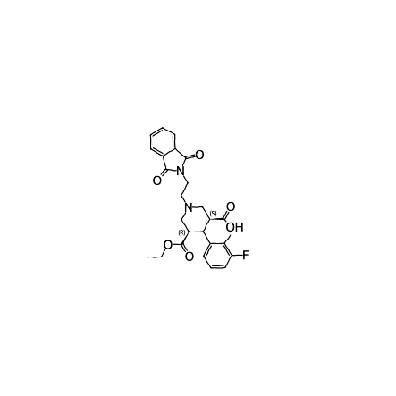 CCOC(=O)[C@H]1CN(CCN2C(=O)c3ccccc3C2=O)C[C@@H](C(=O)O)C1c1cccc(F)c1C